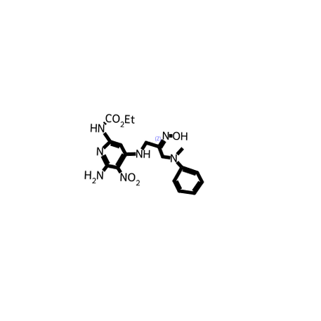 CCOC(=O)Nc1cc(NC/C(CN(C)c2ccccc2)=N/O)c([N+](=O)[O-])c(N)n1